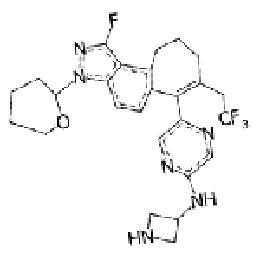 Fc1nn(C2CCCCO2)c2ccc3c(c12)CCCC(CC(F)(F)F)=C3c1cnc(NC2CNC2)cn1